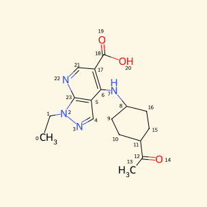 CCn1ncc2c(NC3CCC(C(C)=O)CC3)c(C(=O)O)cnc21